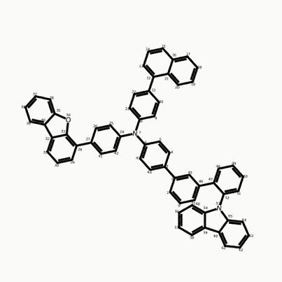 c1cc(-c2ccc(N(c3ccc(-c4cccc5ccccc45)cc3)c3ccc(-c4cccc5c4oc4ccccc45)cc3)cc2)cc(-c2ccccc2-n2c3ccccc3c3ccccc32)c1